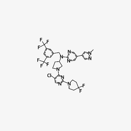 Cn1cc(-c2cnc(N(Cc3cc(C(F)(F)F)cc(C(F)(F)F)c3)C3CCN(c4nc(N5CCC(F)(F)CC5)ncc4Cl)C3)nc2)cn1